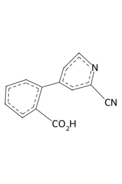 N#Cc1cc(-c2ccccc2C(=O)O)ccn1